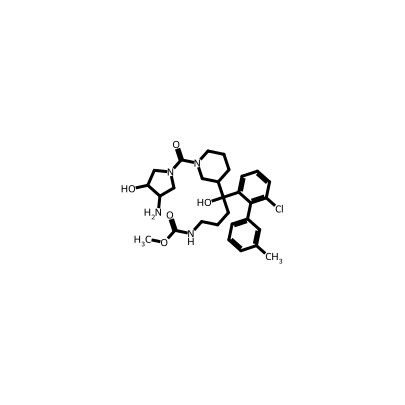 COC(=O)NCCCC(O)(c1cccc(Cl)c1-c1cccc(C)c1)C1CCCN(C(=O)N2CC(N)C(O)C2)C1